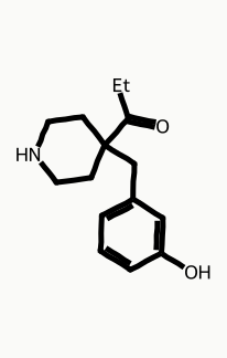 CCC(=O)C1(Cc2cccc(O)c2)CCNCC1